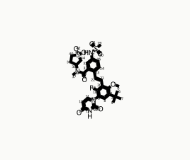 COc1c(C(C)(C)C)cc(-n2ccc(=O)[nH]c2=O)c(F)c1/C=C/c1ccc(NS(C)(=O)=O)cc1C(=O)N(C)C1CCS(=O)(=O)C1